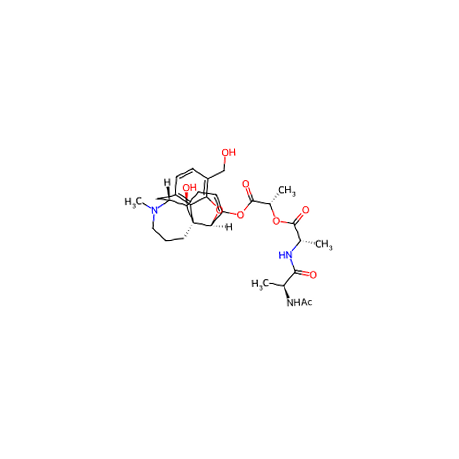 CC(=O)N[C@@H](C)C(=O)N[C@@H](C)C(=O)O[C@@H](C)C(=O)OC1=CC[C@@]2(O)[C@H]3Cc4ccc(CO)c5c4[C@@]2(CCCN3C)[C@H]1O5